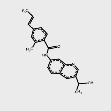 Cc1cc(C=CC(F)(F)F)ccc1C(=O)Nc1ccc2cc(C(C)O)cnc2c1